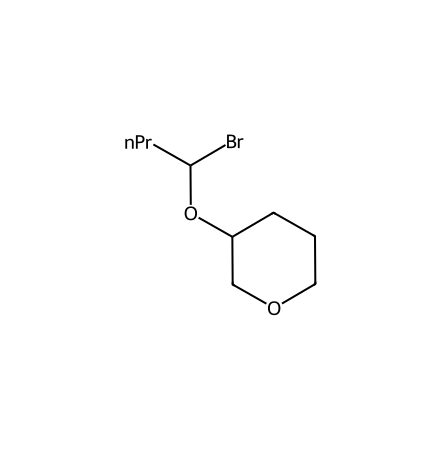 CCCC(Br)OC1CCCOC1